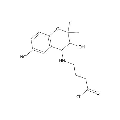 CC1(C)Oc2ccc(C#N)cc2C(NCCCC(=O)Cl)C1O